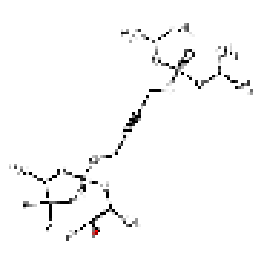 CC(C)OP(=O)(OCC#CCOP(=O)(OC(C)C(F)(F)F)OC(C)C(F)(F)F)OC(C)C